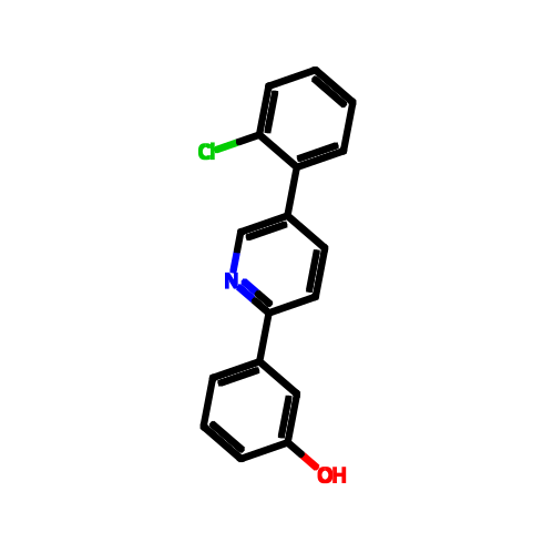 Oc1cccc(-c2ccc(-c3ccccc3Cl)cn2)c1